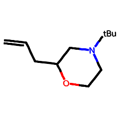 C=CCC1CN(C(C)(C)C)CCO1